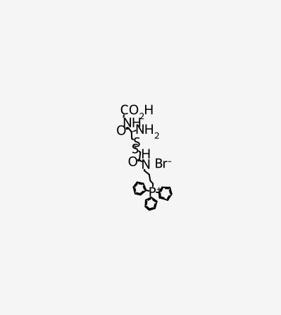 N[C@@H](CSSCC(=O)NCCCC[P+](c1ccccc1)(c1ccccc1)c1ccccc1)C(=O)NCC(=O)O.[Br-]